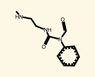 CNCCNC(=O)N(C=O)c1ccccc1